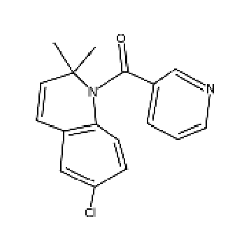 CC1(C)C=Cc2cc(Cl)ccc2N1C(=O)c1cccnc1